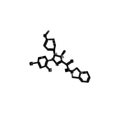 COc1ccc([C@H]2[C@@H](C)C(C(=O)NN3Cc4ccccc4C3)=NN2c2ccc(Cl)cc2Cl)cc1